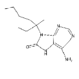 CCCCC(C)(CC)n1c(=O)[nH]c2c(N)ncnc21